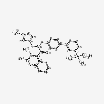 CCc1nc2cnccc2c(C(=O)N(Cc2ccc(-c3cccc(C(C)(C)C(=O)O)c3)cc2)Cc2ccc(C(F)(F)F)o2)c1C